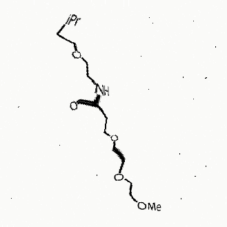 COCCOCCOCCC(=O)NCCOCCC(C)C